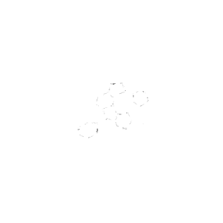 Brc1ccc2c(c1)c1c3c(ccc1n2-c1ccccc1)ccn3-c1ccccc1